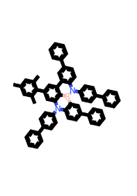 Cc1cc(C)c(-c2cc3c4c(c2)N(c2ccc(-c5ccccc5)cc2)c2ccc(-c5ccccc5)cc2B4N(c2ccc(-c4ccccc4)cc2)c2ccc(-c4ccccc4)cc2-3)c(C)c1